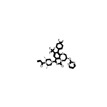 C=CC(=O)N1[C@H](C)CN(c2nc(=O)n3c4c(c(C5=CCC(F)(F)CC5)c(C(F)(F)F)cc24)SC[C@@H](Oc2ncccn2)C3)C[C@@H]1C